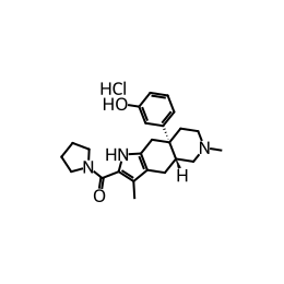 Cc1c(C(=O)N2CCCC2)[nH]c2c1C[C@H]1CN(C)CC[C@]1(c1cccc(O)c1)C2.Cl